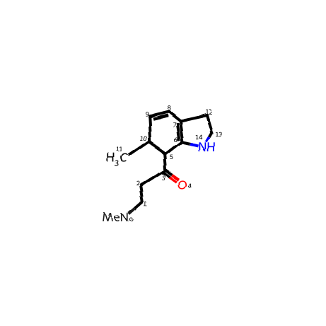 CNCCC(=O)C1C2=C(C=CC1C)CCN2